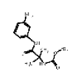 CC(C)(C)OC(=O)NC(C)(C)C(=O)Nc1cccc(N)c1